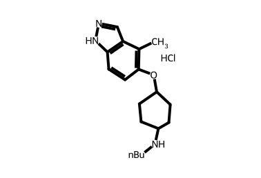 CCCCNC1CCC(Oc2ccc3[nH]ncc3c2C)CC1.Cl